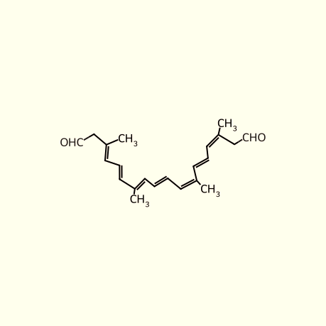 CC(C=CC=C(C)CC=O)=CC=CC=C(C)C=CC=C(C)CC=O